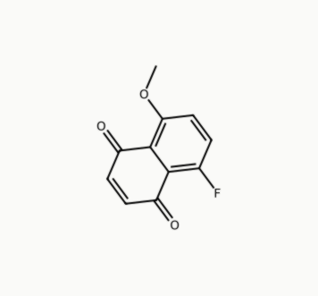 COc1ccc(F)c2c1C(=O)C=CC2=O